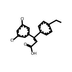 CCc1ccc(/C(=C/C(=O)O)c2cc(Cl)cc(Cl)c2)cc1